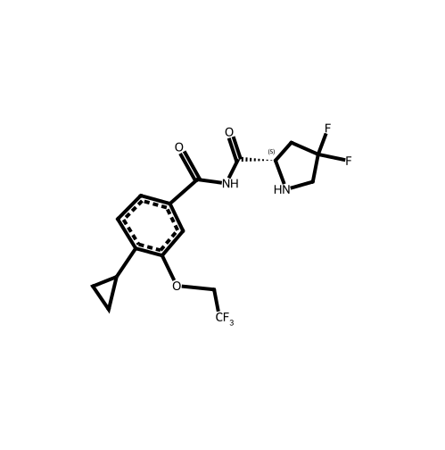 O=C(NC(=O)[C@@H]1CC(F)(F)CN1)c1ccc(C2CC2)c(OCC(F)(F)F)c1